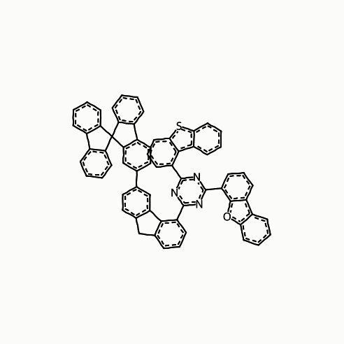 c1ccc2c(c1)-c1ccccc1C21c2ccccc2-c2ccc(-c3ccc4c(c3)-c3c(cccc3-c3nc(-c5cccc6c5oc5ccccc56)nc(-c5cccc6sc7ccccc7c56)n3)C4)cc21